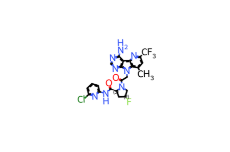 Cc1cc(C(F)(F)F)nc2c3c(N)ncnc3n(CC(=O)N3C[C@H](F)C[C@H]3C(=O)Nc3cccc(Cl)n3)c12